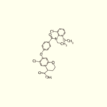 CCN(C(=O)c1ccc(Oc2cc3c(cc2Cl)C(C(=O)O)CCO3)cc1)c1c(Cl)cccc1OC